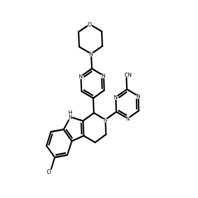 N#Cc1ncnc(N2CCc3c([nH]c4ccc(Cl)cc34)C2c2cnc(N3CCOCC3)nc2)n1